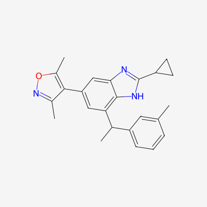 Cc1cccc(C(C)c2cc(-c3c(C)noc3C)cc3nc(C4CC4)[nH]c23)c1